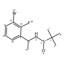 CC(N[S+]([O-])C(C)(C)C)c1cccc(Br)c1F